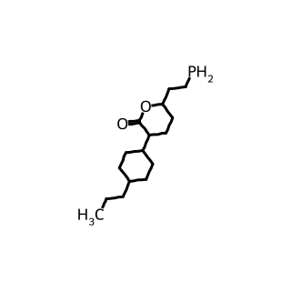 CCCC1CCC(C2CCC(CCP)OC2=O)CC1